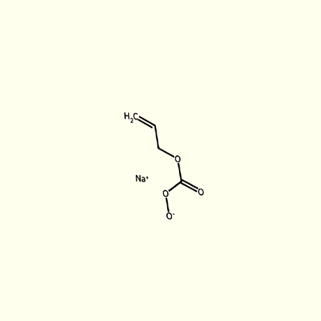 C=CCOC(=O)O[O-].[Na+]